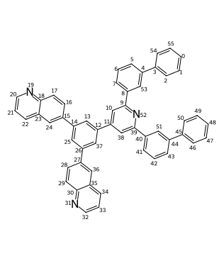 c1ccc(-c2cccc(-c3cc(-c4cc(-c5ccc6ncccc6c5)cc(-c5ccc6ncccc6c5)c4)cc(-c4cccc(-c5ccccc5)c4)n3)c2)cc1